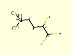 FC(F)C(F)CC[SiH](Cl)Cl